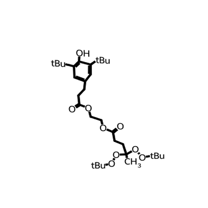 CC(C)(C)OOC(C)(CCC(=O)OCCOC(=O)CCc1cc(C(C)(C)C)c(O)c(C(C)(C)C)c1)OOC(C)(C)C